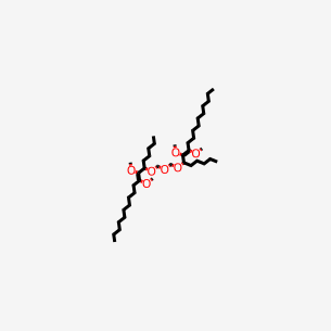 CCCCCCCCCCC(OC)=C(OC)C(CCCCC)OCOCOC(CCCCC)C(OC)=C(CCCCCCCCCC)OC